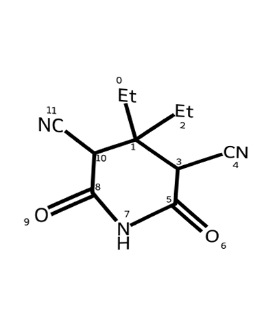 CCC1(CC)C(C#N)C(=O)NC(=O)C1C#N